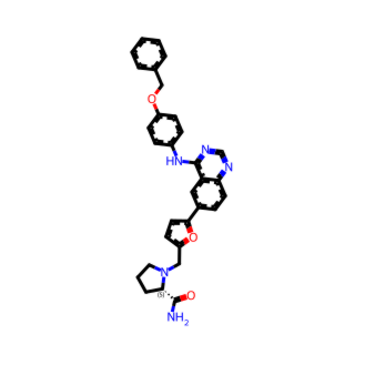 NC(=O)[C@@H]1CCCN1Cc1ccc(-c2ccc3ncnc(Nc4ccc(OCc5ccccc5)cc4)c3c2)o1